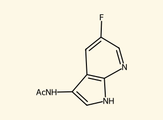 CC(=O)Nc1c[nH]c2ncc(F)cc12